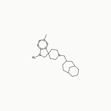 CC(=O)N1CC2(CCN(CC3CCC4CCCC(C4)C3)CC2)c2cc(C)ccc21